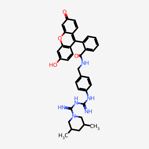 CC1CC(C)CN(C(=N)NC(=N)Nc2ccc(CNC(=O)c3ccccc3-c3c4ccc(=O)cc-4oc4cc(O)ccc34)cc2)C1